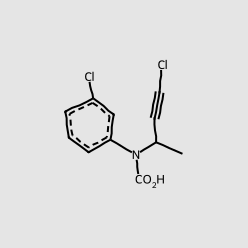 CC(C#CCl)N(C(=O)O)c1cccc(Cl)c1